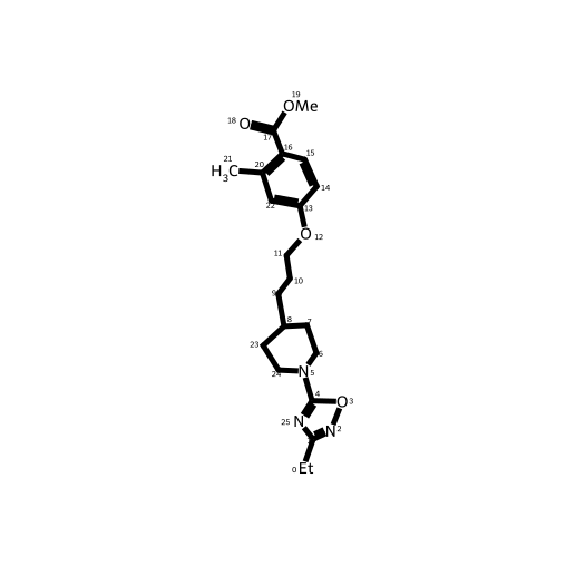 CCc1noc(N2CCC(CCCOc3ccc(C(=O)OC)c(C)c3)CC2)n1